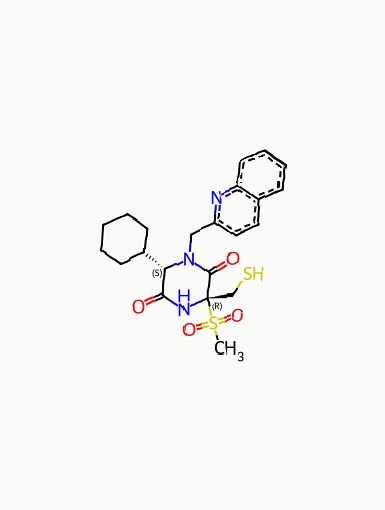 CS(=O)(=O)[C@]1(CS)NC(=O)[C@H](C2CCCCC2)N(Cc2ccc3ccccc3n2)C1=O